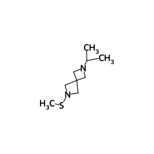 CSN1CC2(C1)CN(C(C)C)C2